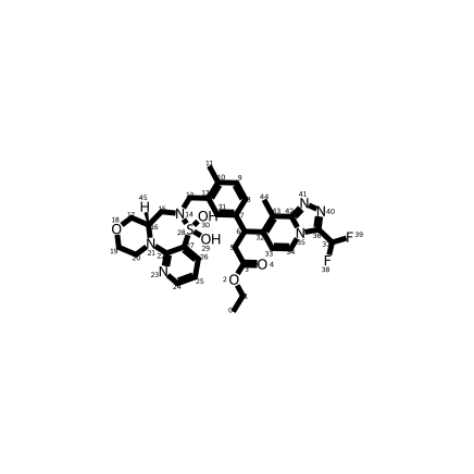 CCOC(=O)CC(c1ccc(C)c(CN2C[C@H]3COCCN3c3ncccc3S2(O)O)c1)c1ccn2c(C(F)F)nnc2c1C